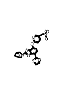 O=[SH](=O)Cc1ccc(Oc2ccc(-c3nccs3)c3oc(N4CC5CC(C4)N5)nc23)nc1